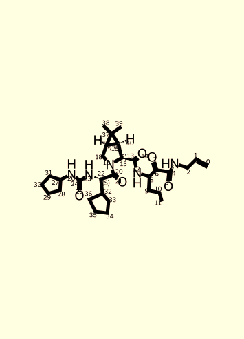 C=CCNC(=O)C(=O)C(CCC)NC(=O)[C@@H]1[C@H]2[C@@H](CN1C(=O)[C@@H](NC(=O)NC1CCCC1)C1CCCC1)C2(C)C